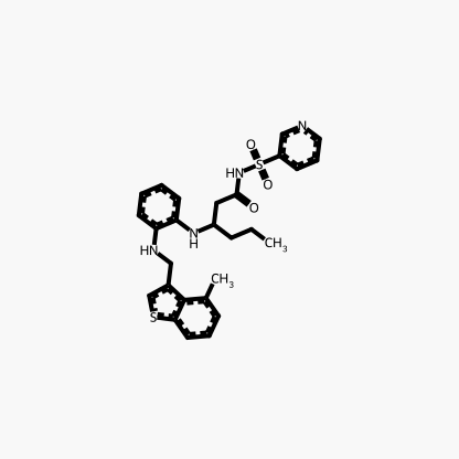 CCCC(CC(=O)NS(=O)(=O)c1cccnc1)Nc1ccccc1NCc1csc2cccc(C)c12